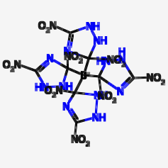 O=[N+]([O-])C1=NC([N+](=O)[O-])([B-](C2([N+](=O)[O-])N=C([N+](=O)[O-])NN2)(C2([N+](=O)[O-])N=C([N+](=O)[O-])NN2)C2([N+](=O)[O-])N=C([N+](=O)[O-])NN2)NN1